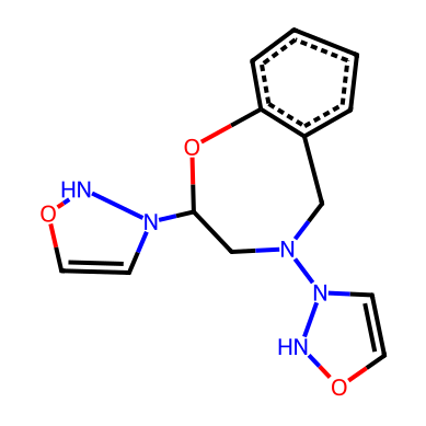 C1=CN(C2CN(N3C=CON3)Cc3ccccc3O2)NO1